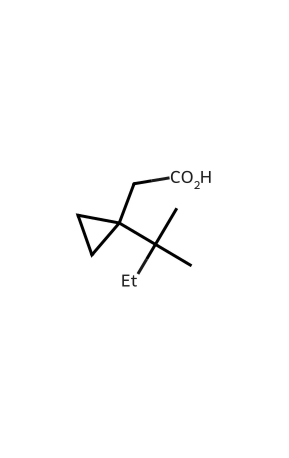 CCC(C)(C)C1(CC(=O)O)CC1